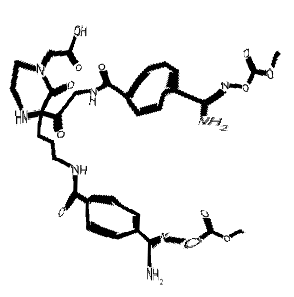 COC(=O)ON=C(N)c1ccc(C(=O)NCCCC2(C(=O)CNC(=O)c3ccc(C(N)=NOC(=O)OC)cc3)NCCN(CC(=O)O)C2=O)cc1